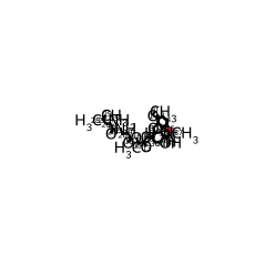 COc1ccc2c3c1O[C@H]1C(OC(=O)[C@H](C)OC(=O)CCNC(=O)[C@@H](N)CC(C)C)=CC[C@@]4(O)[C@@H](C2)N(C)CC[C@]314